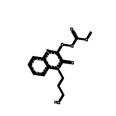 COC(=O)OOc1nc2ccccc2n(CCCO)c1=O